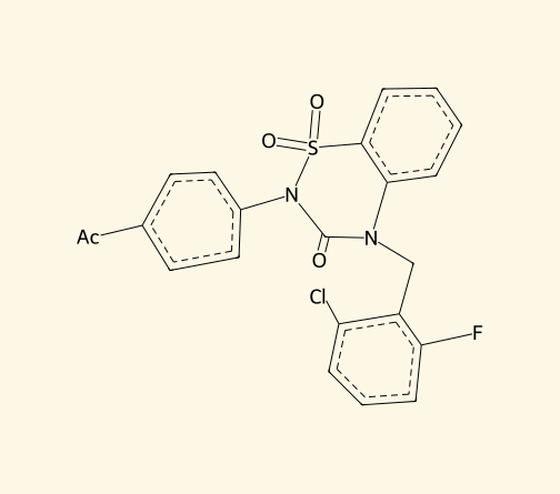 CC(=O)c1ccc(N2C(=O)N(Cc3c(F)cccc3Cl)c3ccccc3S2(=O)=O)cc1